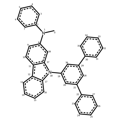 CN(c1ccccc1)c1ccc2c3ccccc3n(-c3cc(-c4ccccc4)cc(-c4ccccc4)c3)c2c1